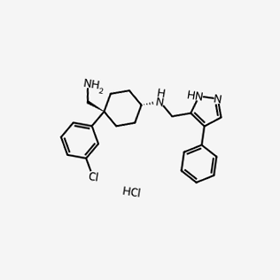 Cl.NC[C@]1(c2cccc(Cl)c2)CC[C@@H](NCc2[nH]ncc2-c2ccccc2)CC1